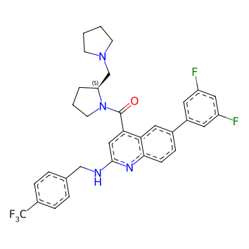 O=C(c1cc(NCc2ccc(C(F)(F)F)cc2)nc2ccc(-c3cc(F)cc(F)c3)cc12)N1CCC[C@H]1CN1CCCC1